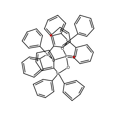 O=P(O[Si](c1ccccc1)(c1ccccc1)c1ccccc1)(O[Si](c1ccccc1)(c1ccccc1)c1ccccc1)O[Si](c1ccccc1)(c1ccccc1)c1ccccc1